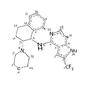 FC(F)(F)c1cc2c(NC3c4ccccc4CC[C@H]3N3CCOCC3)ncnc2[nH]1